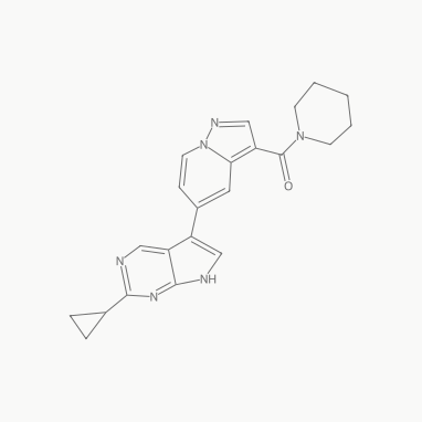 O=C(c1cnn2ccc(-c3c[nH]c4nc(C5CC5)ncc34)cc12)N1CCCCC1